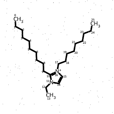 CCCCCCCCCCc1n(CC)cc[n+]1CCCCCCCCC